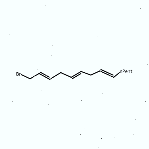 CCCCCC=CCC=CCC=CCBr